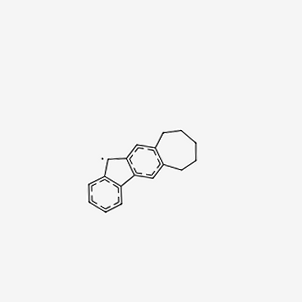 [CH]1c2ccccc2-c2cc3c(cc21)CCCCC3